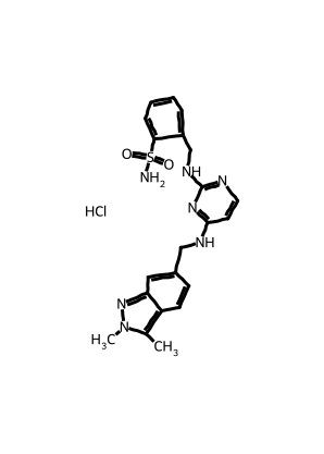 Cc1c2ccc(CNc3ccnc(NCc4ccccc4S(N)(=O)=O)n3)cc2nn1C.Cl